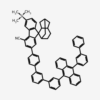 C[Si](C)(C)c1ccc2c(c1)-c1c(C#N)cc(-c3ccc(-c4cccc(-c5cccc(-c6c7ccccc7c(-c7cccc(-c8ccccc8)c7)c7ccccc67)c5)c4)cc3)cc1C21C2CCC3CC(C2)CC31